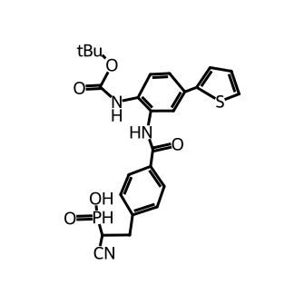 CC(C)(C)OC(=O)Nc1ccc(-c2cccs2)cc1NC(=O)c1ccc(CC(C#N)[PH](=O)O)cc1